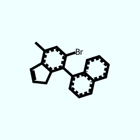 Cc1cc(Br)c(-c2cccc3ccccc23)c2c1C=CC2